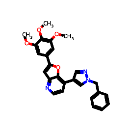 COc1cc(-c2cc3nccc(-c4cnn(Cc5ccccc5)c4)c3o2)cc(OC)c1OC